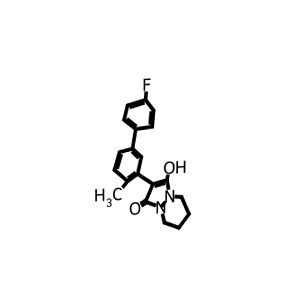 Cc1ccc(-c2ccc(F)cc2)cc1-c1c(O)n2n(c1=O)CCCC2